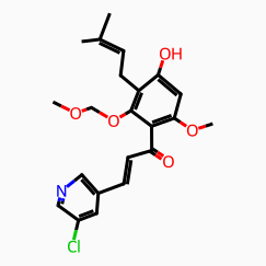 COCOc1c(CC=C(C)C)c(O)cc(OC)c1C(=O)C=Cc1cncc(Cl)c1